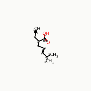 C#CCC(C/C=C/C(C)C)C(=O)O